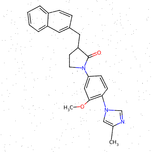 COc1cc(N2CCC(Cc3ccc4ccccc4c3)C2=O)ccc1-n1cnc(C)c1